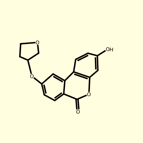 O=c1oc2cc(O)ccc2c2cc(OC3CCOC3)ccc12